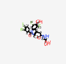 Cc1c(CC(=O)NCCO)c2c(F)c(O)c(F)cc2n1C(=O)c1ccc(F)c(F)c1